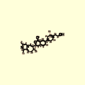 CC1=CN2C=C(c3cc4ccc(N5CCN(CCO)[C@@H](C)C5)cc4c(=O)o3)C(C)CC=C2C(C)=N1